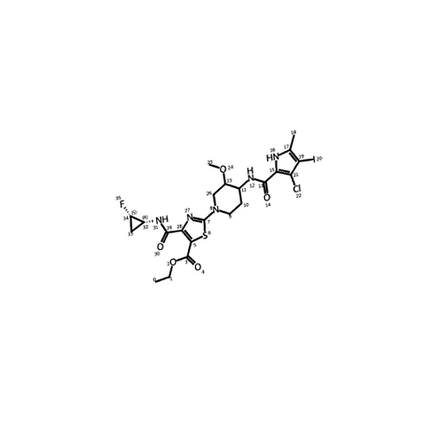 CCOC(=O)c1sc(N2CCC(NC(=O)c3[nH]c(C)c(I)c3Cl)C(OC)C2)nc1C(=O)N[C@@H]1C[C@@H]1F